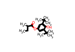 CCC(C)C(=O)Oc1cc(C(C)(C)C)c(O)c(C(C)(C)C)c1